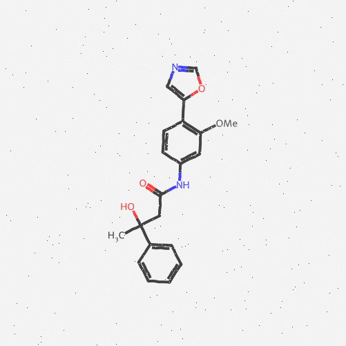 COc1cc(NC(=O)CC(C)(O)c2ccccc2)ccc1-c1cnco1